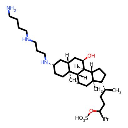 CC(C)C(CCC(C)[C@H]1CC[C@H]2[C@@H]3[C@H](O)C[C@H]4C[C@@H](NCCCNCCCCN)CC[C@]4(C)[C@H]3CC[C@]12C)OS(=O)(=O)O